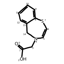 O=C(O)CN1C=CSc2ccccc2C1